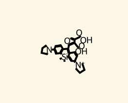 C[Si]1(C)C2=CC(=[N+]3CCCC3)C=CC2=C(c2occ(C(=O)O)c2C(=O)O)c2ccc(N3CCCC3)cc21